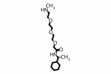 CNCCOCCOCCOCC(=O)N[C@H](C)C1CCCCC1